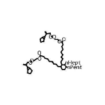 C=C(COOCCOC(=O)CCCCCCCCC1CCC(CCCCC)C(CCCCCCC)C1CCCCCCCCC(=O)OCCOOCC(=C)C1C2CCCC21)C1C2CCCC21